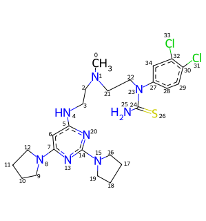 CN(CCNc1cc(N2CCCC2)nc(N2CCCC2)n1)CCN(C(N)=S)c1ccc(Cl)c(Cl)c1